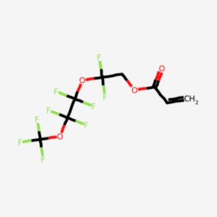 C=CC(=O)OCC(F)(F)OC(F)(F)C(F)(F)OC(F)(F)F